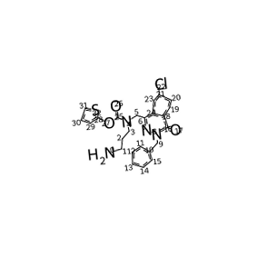 NCCCN(Cc1nn(Cc2ccccc2)c(=O)c2ccc(Cl)cc12)C(=O)Oc1cccs1